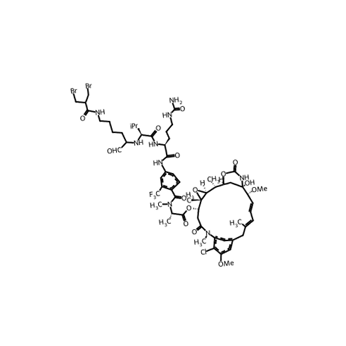 COc1cc2cc(c1Cl)N(C)C(=O)C[C@H](OC(=O)[C@H](C)N(C)C(=O)c1ccc(NC(=O)[C@H](CCCNC(N)=O)NC(=O)[C@@H](NC(C=O)CCCCNC(=O)C(CBr)CBr)C(C)C)cc1C(F)(F)F)[C@]1(C)O[C@H]1[C@H](C)[C@@H]1C[C@@](O)(NC(=O)O1)[C@H](OC)/C=C/C=C(\C)C2